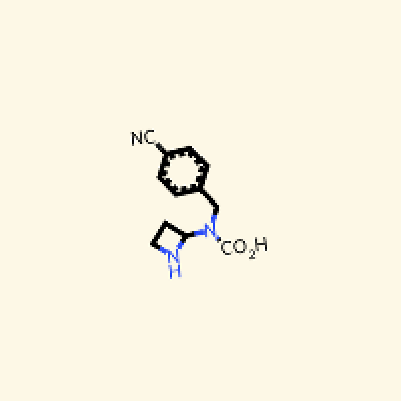 N#Cc1ccc(CN(C(=O)O)C2CCN2)cc1